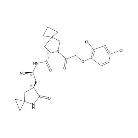 N#C[C@H](C[C@@H]1CC2(CC2)NC1=O)NC(=O)[C@@H]1CC2(CCC2)CN1C(=O)COc1ccc(Cl)cc1Cl